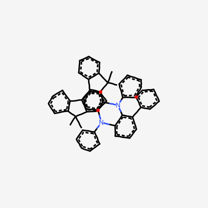 CC1(C)c2ccccc2-c2ccc(N(c3ccccc3)c3cccc(-c4ccccc4)c3N(c3ccccc3)c3ccc4c(c3)C(C)(C)c3ccccc3-4)cc21